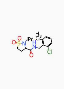 Cc1cccc(Cl)c1CNC(=O)C1CCS(=O)(=O)N1C(C)C